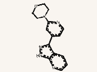 c1cnc2[nH]nc(-c3ccnc(N4CCOCC4)c3)c2c1